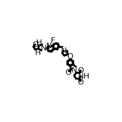 O=C1CC[C@H](N2Cc3cc(O[C@H]4CCN(Cc5cc(F)c6nc(N7C[C@@H]8CCO[C@@H]8C7)ccc6c5)C4)ccc3C2=O)C(=O)N1